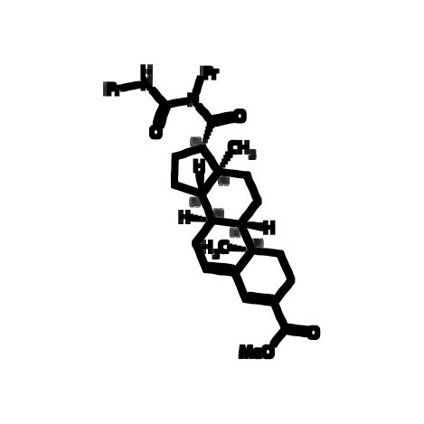 COC(=O)C1=CC2=CC[C@H]3[C@@H]4CC[C@H](C(=O)N(C(=O)NC(C)C)C(C)C)[C@@]4(C)CC[C@@H]3[C@@]2(C)CC1